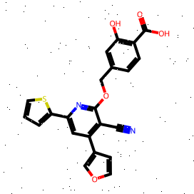 N#Cc1c(-c2ccoc2)cc(-c2cccs2)nc1OCc1ccc(C(=O)O)c(O)c1